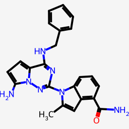 Cc1cc2c(C(N)=O)cccc2n1-c1nc(NCc2ccccc2)c2ccc(N)n2n1